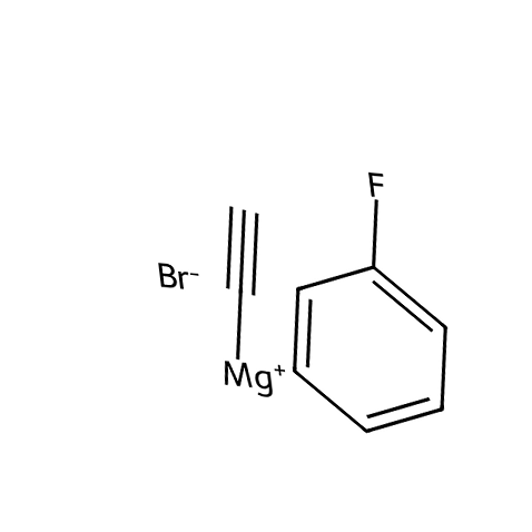 C#[C][Mg+].Fc1ccccc1.[Br-]